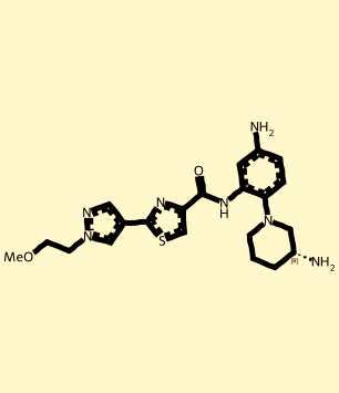 COCCn1cc(-c2nc(C(=O)Nc3cc(N)ccc3N3CCC[C@@H](N)C3)cs2)cn1